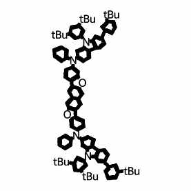 CC(C)(C)c1cccc(-c2ccc3c4ccc(N(c5ccccc5)c5ccc6c(c5)oc5cc7cc8c(cc7cc56)oc5cc(N(c6ccccc6)c6ccc7c9ccc(-c%10cccc(C(C)(C)C)c%10)cc9n(-c9cc(C(C)(C)C)cc(C(C)(C)C)c9)c7c6)ccc58)cc4n(-c4cc(C(C)(C)C)cc(C(C)(C)C)c4)c3c2)c1